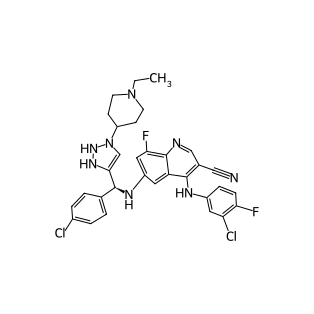 CCN1CCC(N2C=C([C@@H](Nc3cc(F)c4ncc(C#N)c(Nc5ccc(F)c(Cl)c5)c4c3)c3ccc(Cl)cc3)NN2)CC1